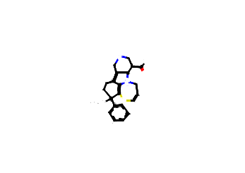 COC1(c2ccccc2)CCC2=C3CNCC(C(=O)C(F)(F)F)C3N3CC=CSC1=C23